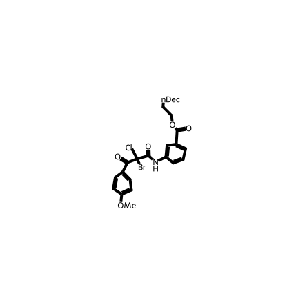 CCCCCCCCCCCCOC(=O)c1cccc(NC(=O)C(Cl)(Br)C(=O)c2ccc(OC)cc2)c1